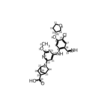 COc1nc(Nc2cc(O[C@@H]3CCOC3)c(Cl)cc2C=N)cc(N2CC3CC2CC3C(=O)O)n1